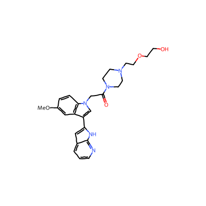 COc1ccc2c(c1)c(-c1cc3cccnc3[nH]1)cn2CC(=O)N1CCN(CCOCCO)CC1